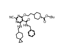 CC(C)(C)OC(=O)N1CCC(CCOc2nc(C#N)nc(NCC3CCC4(CC3)CC4)c2C(=O)NCc2ccccc2)CC1